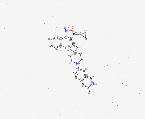 Cc1cc2ccc(N3CCC4(C=C(c5c(-c6c(F)cccc6F)noc5C5CC5)C4)CC3)cc2cn1